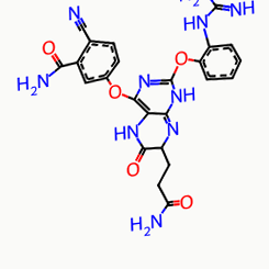 N#Cc1ccc(OC2=C3NC(=O)C(CCC(N)=O)N=C3NC(Oc3ccccc3NC(=N)N)=N2)cc1C(N)=O